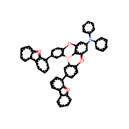 c1ccc(N(c2ccccc2)c2cc3c4c(c2)Oc2ccc(-c5cccc6c5oc5ccccc56)cc2B4c2cc(-c4cccc5c4oc4ccccc45)ccc2O3)cc1